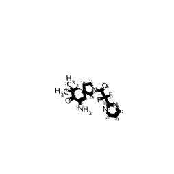 CC1(C)C[C@]2(C=C(N)C1=O)CCN(C(=O)C(F)(F)c1ncccn1)C2